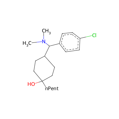 CCCCCC1(O)CCC(C(c2ccc(Cl)cc2)N(C)C)CC1